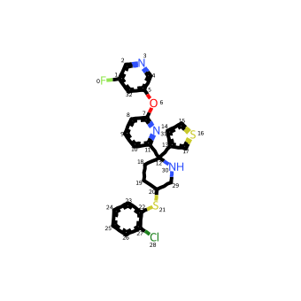 Fc1cncc(Oc2cccc(C3(c4ccsc4)CCC(Sc4ccccc4Cl)CN3)n2)c1